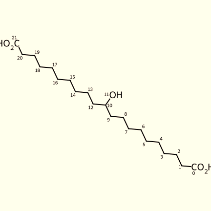 O=C(O)CCCCCCCCCC(O)CCCCCCCCCC(=O)O